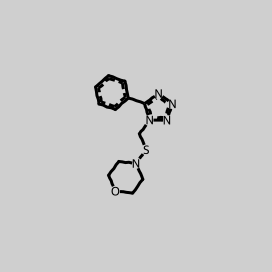 c1ccc(-c2nnnn2CSN2CCOCC2)cc1